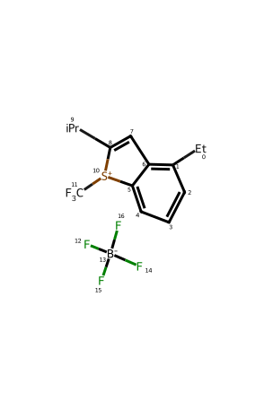 CCc1cccc2c1cc(C(C)C)[s+]2C(F)(F)F.F[B-](F)(F)F